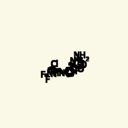 CC1(c2cc(NCc3nn(C(F)F)cc3Cl)ccc2F)CS(=O)(=O)C(C)(C)C(N)=N1